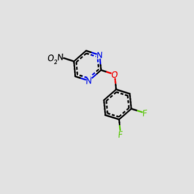 O=[N+]([O-])c1cnc(Oc2ccc(F)c(F)c2)nc1